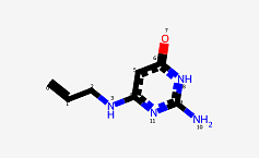 C=CCNc1cc(=O)[nH]c(N)n1